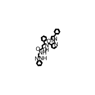 O=C(CC(NC(=O)c1cccnc1-n1ccc(-c2ccccc2)n1)c1ccccc1)C(=O)NCc1nc2ccccc2[nH]1